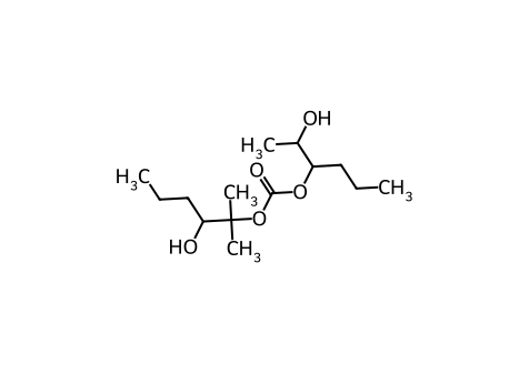 CCCC(OC(=O)OC(C)(C)C(O)CCC)C(C)O